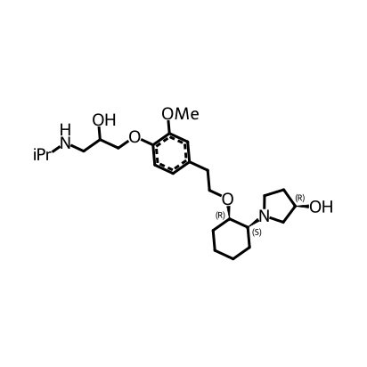 COc1cc(CCO[C@@H]2CCCC[C@@H]2N2CC[C@@H](O)C2)ccc1OCC(O)CNC(C)C